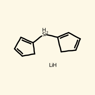 C1=CCC([SiH2]C2=CC=CC2)=C1.[LiH]